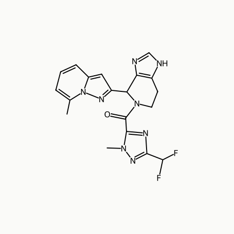 Cc1cccc2cc(C3c4nc[nH]c4CCN3C(=O)c3nc(C(F)F)nn3C)nn12